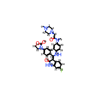 CN1CCN(CC(=O)N(C)c2ccc(NC(=C3C(=O)Nc4cc(F)ccc43)c3ccc(N4CCOC4=O)cc3)cc2)CC1